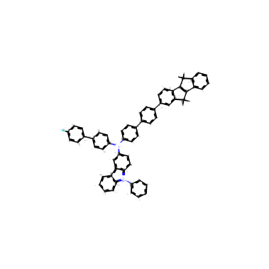 CC1(C)C2=C(c3ccccc31)C(C)(C)c1cc(-c3ccc(-c4ccc(N(c5ccc(-c6ccc(F)cc6)cc5)c5ccc6c(c5)c5ccccc5n6-c5ccccc5)cc4)cc3)ccc12